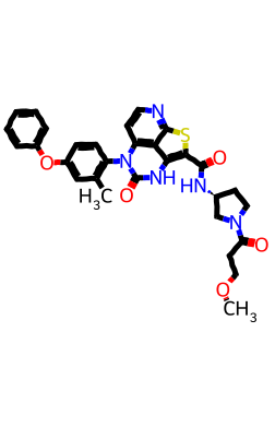 COCCC(=O)N1CC[C@@H](NC(=O)c2sc3nccc4c3c2NC(=O)N4c2ccc(Oc3ccccc3)cc2C)C1